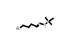 C[Si](C)(C)ON=CCCCC#N